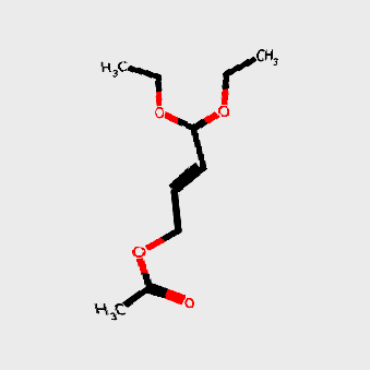 CCOC(/C=C/COC(C)=O)OCC